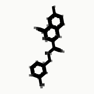 Cc1ccc2nc(C(=O)NCc3ccnc(O)c3)[nH]c(=O)c2c1